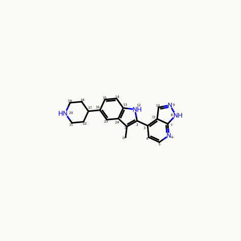 Cc1c(-c2ccnc3[nH]ncc23)[nH]c2ccc(C3CCNCC3)cc12